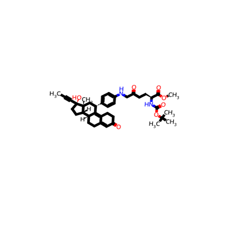 CC#C[C@]1(O)CC[C@H]2[C@@H]3CCC4=CC(=O)CCC4=C3[C@@H](c3ccc(NCC(=O)CC[C@H](NC(=O)OC(C)(C)C)C(=O)OC)cc3)C[C@@]21C